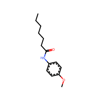 CCCCCCC(=O)Nc1ccc(OC)cc1